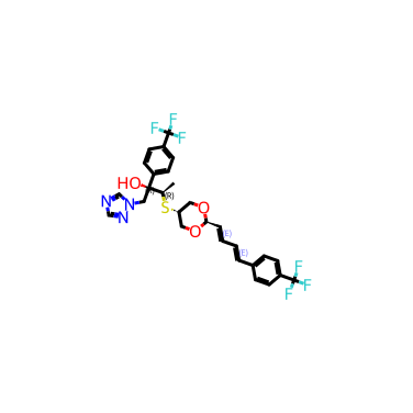 C[C@@H](S[C@H]1CO[C@H](/C=C/C=C/c2ccc(C(F)(F)F)cc2)OC1)[C@](O)(Cn1cncn1)c1ccc(C(F)(F)F)cc1